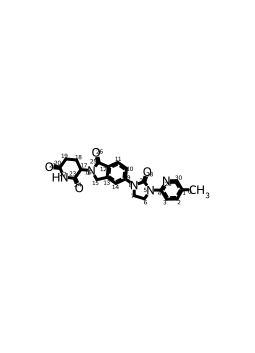 Cc1ccc(N2CCN(c3ccc4c(c3)CN(C3CCC(=O)NC3=O)C4=O)C2=O)nc1